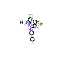 Cc1cc(Cl)ccc1Nc1c(C(=O)N2CCC(c3ccc(F)cc3)CC2)cnc(S)c1C